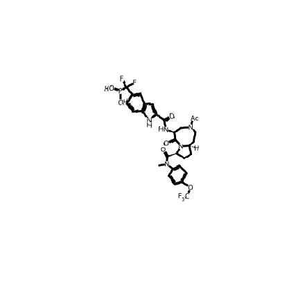 CC(=O)N1CC[C@H]2CC[C@@H](C(=O)N(C)c3ccc(OC(F)(F)F)cc3)N2C(=O)[C@@H](NC(=O)c2cc3cc(C(F)(F)P(O)O)ccc3[nH]2)C1